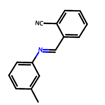 Cc1cccc(N=Cc2ccccc2C#N)c1